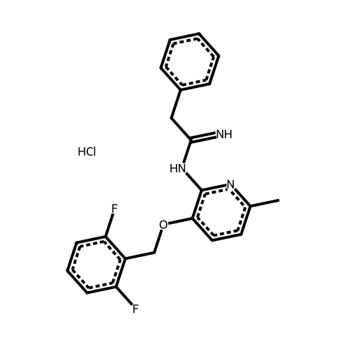 Cc1ccc(OCc2c(F)cccc2F)c(NC(=N)Cc2ccccc2)n1.Cl